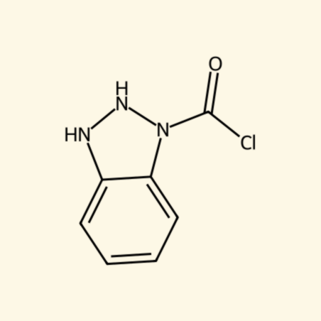 O=C(Cl)N1NNc2ccccc21